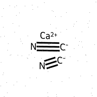 [C-]#N.[C-]#N.[Ca+2]